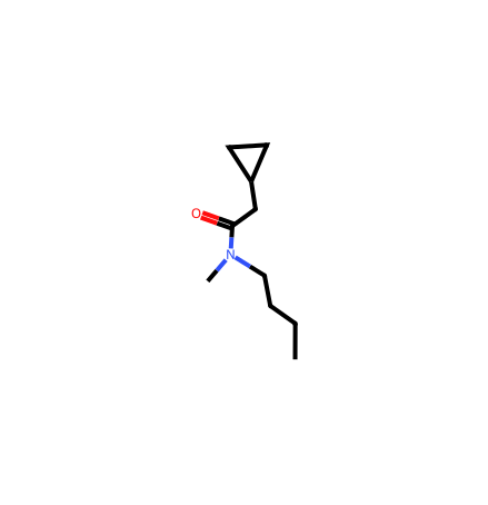 CCCCN(C)C(=O)CC1CC1